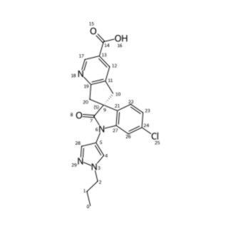 CCCn1cc(N2C(=O)[C@]3(Cc4cc(C(=O)O)cnc4C3)c3ccc(Cl)cc32)cn1